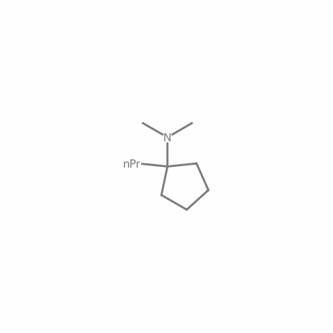 CCCC1(N(C)C)CCCC1